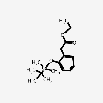 CCOC(=O)Cc1ccccc1O[Si](C)(C)C(C)(C)C